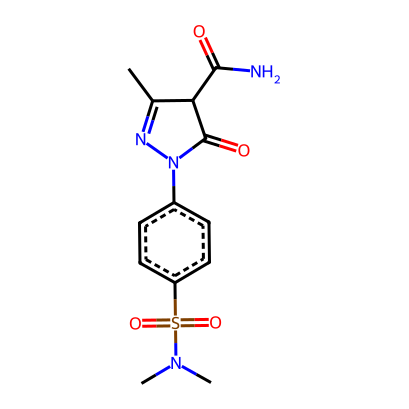 CC1=NN(c2ccc(S(=O)(=O)N(C)C)cc2)C(=O)C1C(N)=O